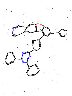 c1ccc(-c2cc(-c3ccc(-c4nc(-c5ccccc5)nc(-c5ccccc5)n4)cc3)c3c(c2)oc2cc4cnccc4cc23)cc1